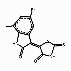 Cc1cc(Br)cc2c1NC(=O)/C2=C1/SC(=S)NC1=O